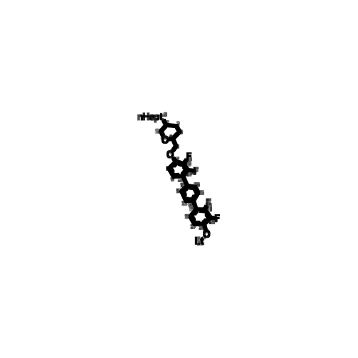 CCCCCCCC1CCC(COc2ccc(-c3ccc(-c4ccc(OCC)c(F)c4F)cc3)c(F)c2F)OC1